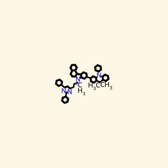 C/C(=C\Cc1cc(-c2ccccc2)nc(-c2ccccc2)n1)n1c2cc(-c3ccc4c(c3)N(c3ccccc3)c3ccccc3C4(C)C)ccc2c2c3ccccc3ccc21